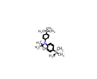 CC(C)(C)N(c1ccc([Si](C)(C)C)cc1)c1ccc([Si](C)(C)C)cc1